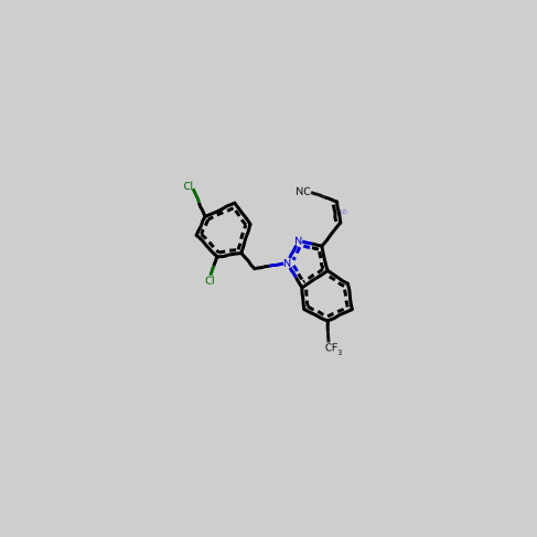 N#C/C=C\c1nn(Cc2ccc(Cl)cc2Cl)c2cc(C(F)(F)F)ccc12